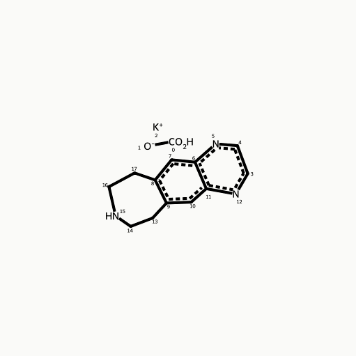 O=C([O-])O.[K+].c1cnc2cc3c(cc2n1)CCNCC3